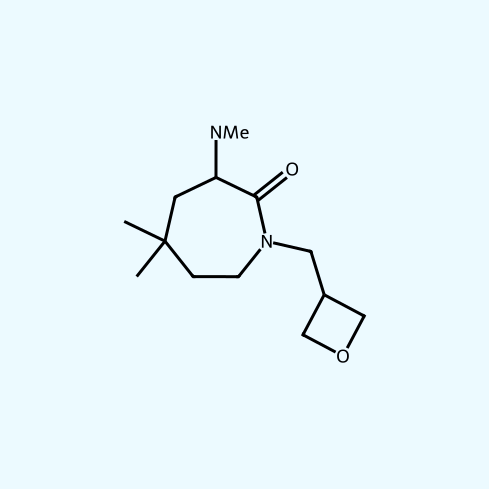 CNC1CC(C)(C)CCN(CC2COC2)C1=O